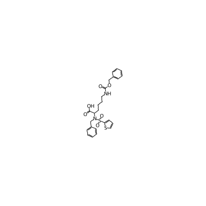 O=C(NCCCCC(C(=O)O)N(Cc1ccccc1)S(=O)(=O)c1cccs1)OCc1ccccc1